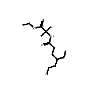 CCCC(CC)CCC(=O)NC(C)(C)C(=O)OCC